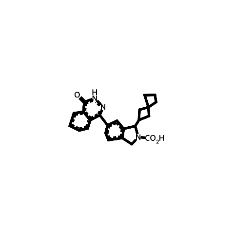 O=C(O)N1Cc2ccc(-c3n[nH]c(=O)c4ccccc34)cc2C1C1CC2(CCC2)C1